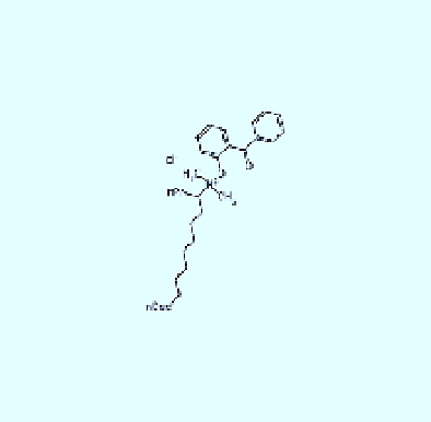 CCCCCCCCCCCCCCCCCC(CCC)[N+](C)(C)Oc1ccccc1C(=O)c1ccccc1.[Cl-]